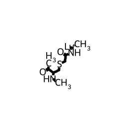 CNC(CSCC(=O)[NH][Lu][CH3])C(C)=O